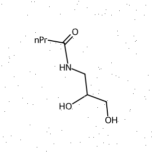 CCCC(=O)NCC(O)CO